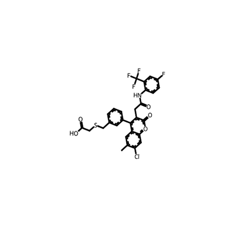 Cc1cc2c(-c3cccc(CSCC(=O)O)c3)c(CC(=O)Nc3ccc(F)cc3C(F)(F)F)c(=O)oc2cc1Cl